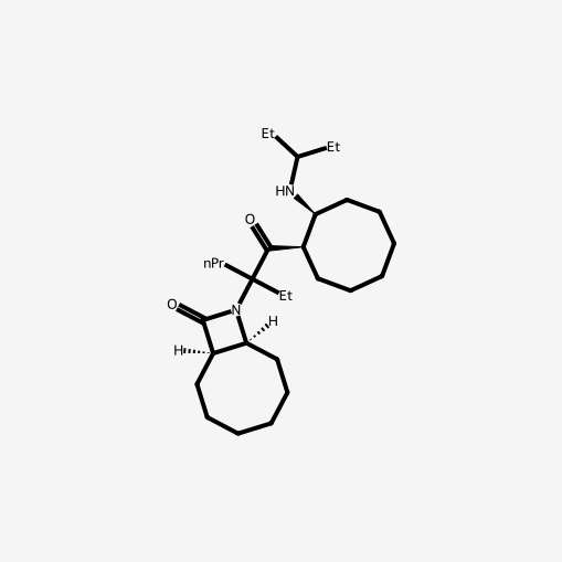 CCCC(CC)(C(=O)[C@@H]1CCCCCC[C@@H]1NC(CC)CC)N1C(=O)[C@@H]2CCCCCC[C@@H]21